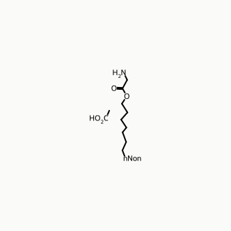 CC(=O)O.CCCCCCCCCCCCCCCCOC(=O)CN